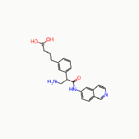 NCC(C(=O)Nc1ccc2cnccc2c1)c1cccc(CCCB(O)O)c1